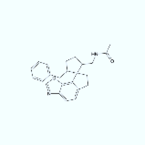 CC(=O)NCC1CCC(Cc2ccccc2)C12CCc1ccc3ncoc3c12